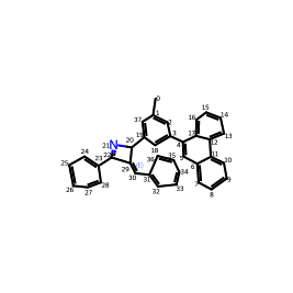 Cc1cc(-c2cc3ccccc3c3ccccc23)cc(C2N=C(c3ccccc3)/C2=C/c2ccccc2)c1